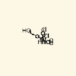 O=S1(=O)CCN(Nc2nc(-c3ccc(C#CCCO)cc3)c(-c3ccc(Cl)cc3Cl)o2)CC1